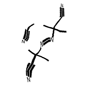 CC#N.CC(C)(C#N)N=NC(C)(C)C#N